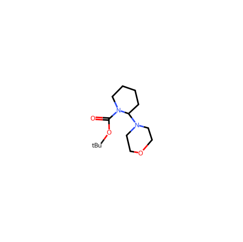 CC(C)(C)OC(=O)N1CCCCC1N1CCOCC1